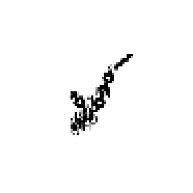 CCCCCCCOc1ccc(-c2cnc(-c3ccc(C[C@H](NC(=O)c4ccc(C(C)(C)C)cc4)C(=O)NCC(=O)NS(C)(=O)=O)cc3)nc2)cc1